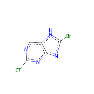 Clc1ncc2[nH]c(Br)nc2n1